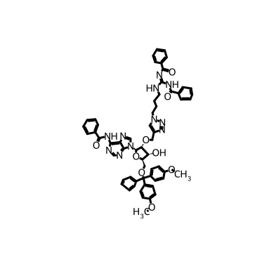 COc1ccc(C(OC[C@H]2O[C@@H](n3cnc4c(NC(=O)c5ccccc5)ncnc43)[C@H](OCc3cn(CCCCN/C(=N/C(=O)c4ccccc4)NC(=O)c4ccccc4)nn3)[C@@H]2O)(c2ccccc2)c2ccc(OC)cc2)cc1